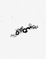 O=C(/C=C/c1cccc(S(=O)(=O)Nc2ccc(O)cc2)c1)NO